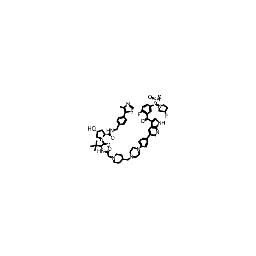 Cc1ncsc1-c1ccc(CNC(=O)[C@@H]2C[C@@H](O)CN2C(=O)[C@@H](NC(=O)CN2CCC(CN3CCN(c4ccc(-c5cnc6[nH]cc(C(=O)c7cc(N(N8CC[C@@H](F)C8)[SH](=O)=O)ccc7F)c6c5)cc4)CC3)CC2)C(C)(C)C)cc1